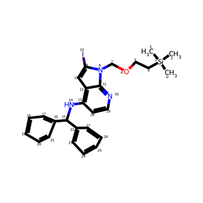 C[Si](C)(C)CCOCn1c(I)cc2c(NC(c3ccccc3)c3ccccc3)ccnc21